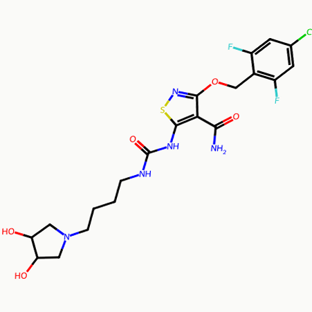 NC(=O)c1c(OCc2c(F)cc(Cl)cc2F)nsc1NC(=O)NCCCCN1CC(O)C(O)C1